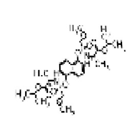 COCP(=O)(N[C@@H](C)C(=O)OC(C)C)Oc1cccc2c(OP(=O)(COC)N[C@@H](C)C(=O)OC(C)C)cccc12